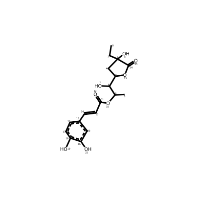 CCC1(O)CC(C(O)C(C)OC(=O)/C=C/c2ccc(O)c(O)c2)OC1=O